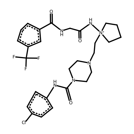 O=C(CNC(=O)c1cccc(C(F)(F)F)c1)N[N+]1(CCN2CCN(C(=O)Nc3ccc(Cl)cc3)CC2)CCCC1